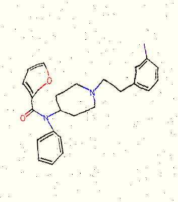 O=C(c1ccco1)N(c1ccccc1)C1CCN(CCc2cccc(I)c2)CC1